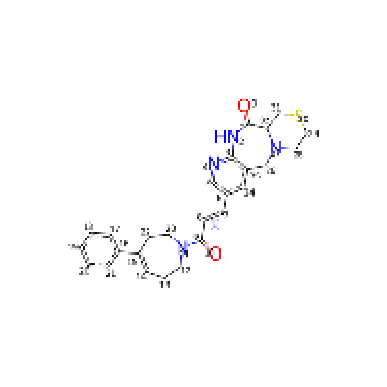 O=C1Nc2ncc(/C=C/C(=O)N3CCC=C(c4ccccc4)CC3)cc2CN2CCSCC12